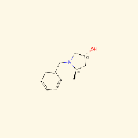 C[C@@H]1C[C@@H](O)CN1Cc1ccccc1